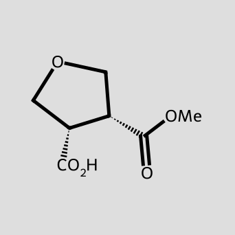 COC(=O)[C@H]1COC[C@H]1C(=O)O